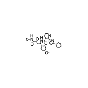 COc1ccc(C(CC(=O)C(=O)NC2CC2)NC(=O)c2cccnc2-n2ccc(-c3ccccc3)n2)cc1